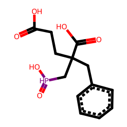 O=C(O)CCC(Cc1ccccc1)(C[PH](=O)O)C(=O)O